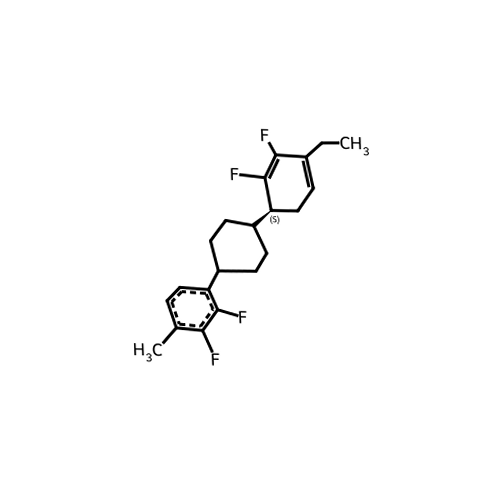 CCC1=CC[C@@H](C2CCC(c3ccc(C)c(F)c3F)CC2)C(F)=C1F